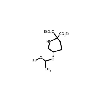 CCOC(=O)C1(C(=O)OCC)CC[C@H](OC(C)OCC)CN1